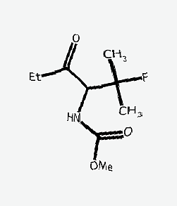 CCC(=O)C(NC(=O)OC)C(C)(C)F